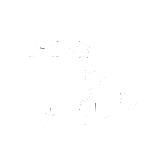 COCCCOc1nn([C@H]2CC[C@H](N3C[C@@H](C)O[C@@H](C)C3)CC2)cc1Nc1ncc(-c2ccc(C#N)c(O[C@@H](C)Cn3cnnn3)c2)cn1.O=P(O)(O)O